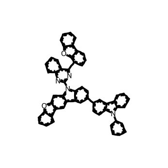 c1ccc(-n2c3ccccc3c3cc(-c4ccc5c(c4)c4cc6c(cc4n5-c4nc(-c5cccc7c5oc5ccccc57)c5ccccc5n4)oc4ccccc46)ccc32)cc1